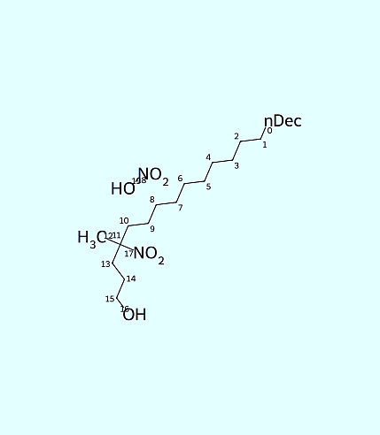 CCCCCCCCCCCCCCCCCCCCC(C)(CCCO)[N+](=O)[O-].O=[N+]([O-])O